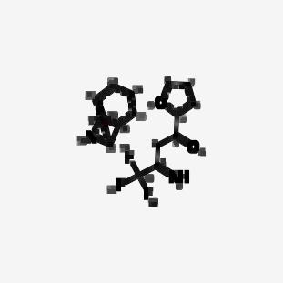 N=C(CC(=O)c1ccco1)C(F)(F)F.c1cc2c3nc-2ccc3c1